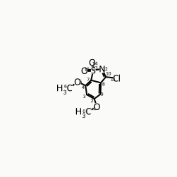 COc1cc(OC)c2c(c1)C(Cl)=NS2(=O)=O